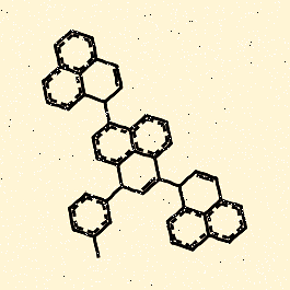 Cc1cc[c]c(C2C=C(C3C=Cc4cccc5cccc3c45)c3cccc4c(C5C=Cc6cccc7cccc5c67)ccc2c34)c1